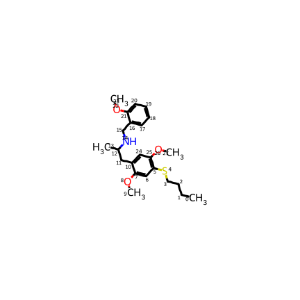 CCCCSc1cc(OC)c(CC(C)NCc2ccccc2OC)cc1OC